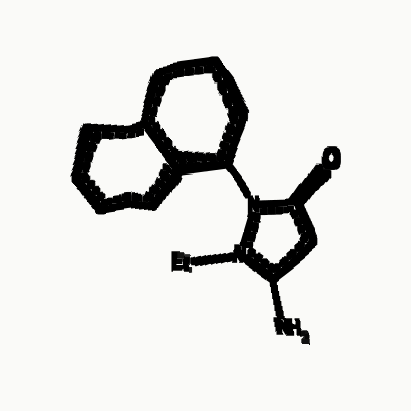 CCn1c(N)cc(=O)n1-c1cccc2ccccc12